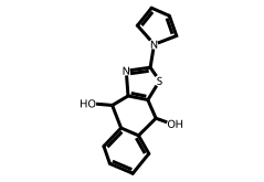 OC1c2ccccc2C(O)c2sc(-n3cccc3)nc21